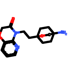 NC12CCC(CCN3C(=O)COc4cccnc43)(CC1)OC2